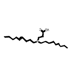 CCCCCCCCCN(CCCCCCCCC)CCC(=O)O